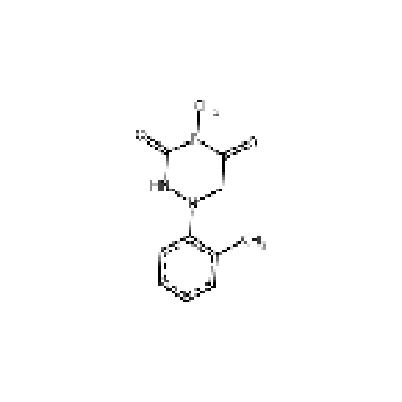 Cc1ccccc1N1CC(=O)N(C)C(=O)N1